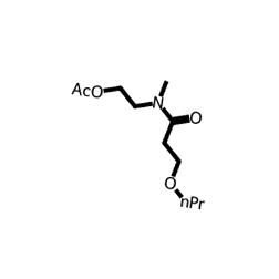 CCCOCCC(=O)N(C)CCOC(C)=O